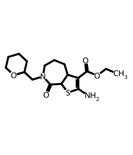 CCOC(=O)C1=C(N)SC2C(=O)N(CC3CCCCO3)CCCC12